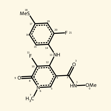 CONC(=O)c1cn(C)c(=O)c(F)c1Nc1ccc(SC)cc1F